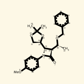 COc1ccc(N2C(=O)[C@H]([C@@H](C)OCc3ccccc3)[C@H]2[C@H]2COC(C)(C)O2)cc1